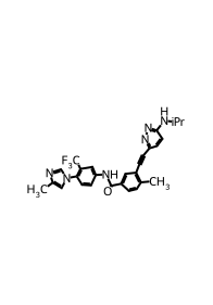 Cc1cn(-c2ccc(NC(=O)c3ccc(C)c(C#Cc4ccc(NC(C)C)nn4)c3)cc2C(F)(F)F)cn1